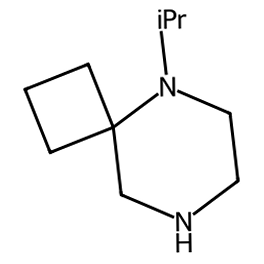 CC(C)N1CCNCC12CCC2